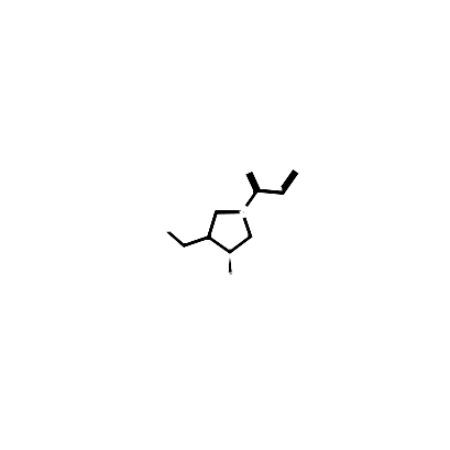 C=CC(=O)N1CC(CC(C)(C)C)[C@H](C(F)(F)F)C1